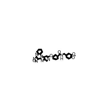 Nc1nonc1-c1nc2cnc(Oc3cccc(C(=O)NCc4ccc5c(c4)OCO5)c3)cc2n1-c1ccccc1